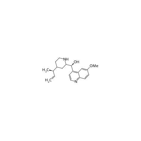 C=C[C@@H](C)C1CCNC([C@@H](O)c2ccnc3ccc(OC)cc23)C1